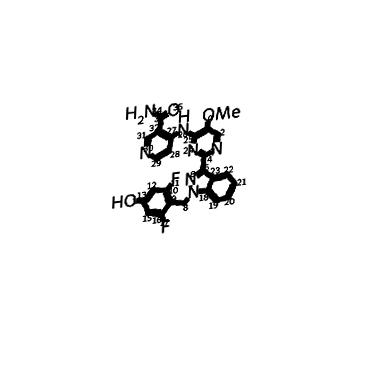 COc1cnc(-c2nn(Cc3c(F)cc(O)cc3F)c3ccccc23)nc1Nc1ccncc1C(N)=O